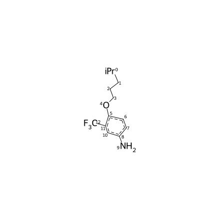 CC(C)CCCOc1ccc(N)cc1C(F)(F)F